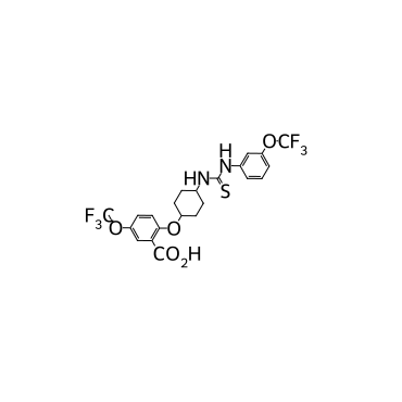 O=C(O)c1cc(OC(F)(F)F)ccc1OC1CCC(NC(=S)Nc2cccc(OC(F)(F)F)c2)CC1